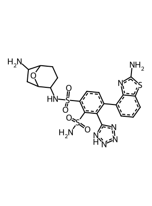 Nc1nc2c(-c3ccc(S(=O)(=O)NC4CCC5OC4CC5N)c(S(N)(=O)=O)c3-c3nnn[nH]3)cccc2s1